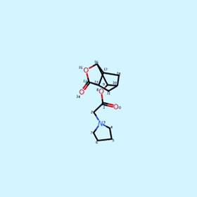 O=C(CN1CCCC1)OC1C2CC3C(=O)OC1C3C2